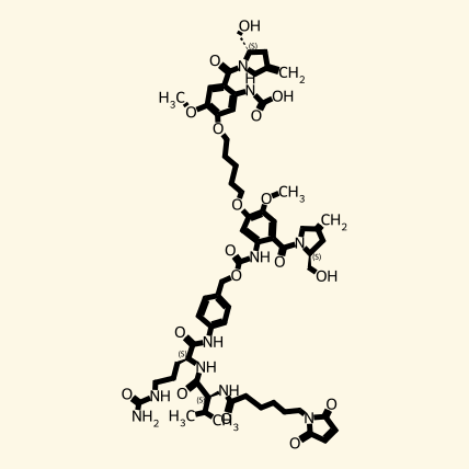 C=C1C[C@@H](CO)N(C(=O)c2cc(OC)c(OCCCCCOc3cc(NC(=O)OCc4ccc(NC(=O)[C@H](CCCNC(N)=O)NC(=O)[C@@H](NC(=O)CCCCCN5C(=O)C=CC5=O)C(C)C)cc4)c(C(=O)N4CC(=C)C[C@H]4CO)cc3OC)cc2NC(=O)O)C1